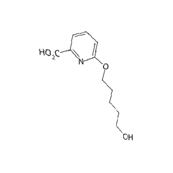 O=C(O)c1cccc(OCCCCCO)n1